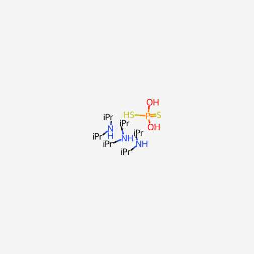 CC(C)NC(C)C.CC(C)NC(C)C.CC(C)NC(C)C.OP(O)(=S)S